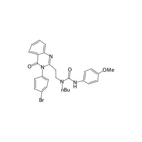 CCCCN(CCc1nc2ccccc2c(=O)n1-c1ccc(Br)cc1)C(=O)Nc1ccc(OC)cc1